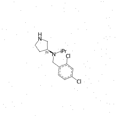 CC(C)N(Cc1ccc(Cl)cc1Cl)[C@H]1CCNC1